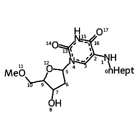 CCCCCCCNc1cn(C2CC(O)C(COC)O2)c(=O)[nH]c1=O